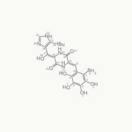 Bc1c(O)c(O)c(O)c(O)c1/C=c1\[nH]c(=O)/c(=C(\O)c2nc[nH]c2C(C)(C)C)[nH]c1=O